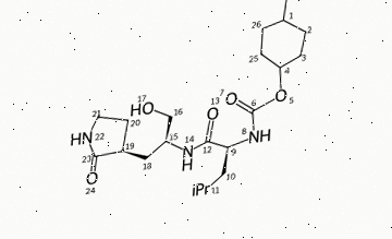 CCCC1CCC(OC(=O)N[C@@H](CC(C)C)C(=O)N[C@H](CO)C[C@@H]2CCNC2=O)CC1